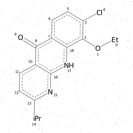 CCOc1c(Cl)ccc2c(=O)c3ccc(C(C)C)nc3[nH]c12